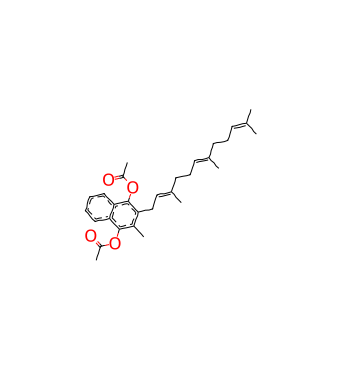 CC(=O)Oc1c(C)c(C/C=C(\C)CC/C=C(\C)CCC=C(C)C)c(OC(C)=O)c2ccccc12